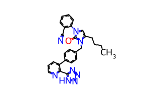 CCCCc1cn(-c2ccccc2C#N)c(=O)n1Cc1ccc(-c2cccnc2-c2nnn[nH]2)cc1